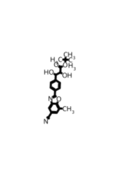 Cc1cc(C#N)cc2nc(-c3ccc(C(O)C(O)C(=O)OC(C)(C)C)cc3)oc12